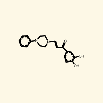 O=C(/C=C/N1CCN(c2ccccc2)CC1)c1ccc(O)c(O)c1